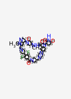 CNc1ccn(-c2ccnc3c2cc(CN2CCC(c4c(F)cc(C(=O)N5CCC(CN6CCN(c7ccc8c(c7)C7(CC7)C(=O)N8[C@H]7CCC(=O)NC7=O)CC6)CC5)cc4F)CC2)n3C)c(=O)c1